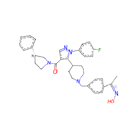 C/C(=N/O)c1ccc(CN2CCC(c3c(C(=O)N4CC[C@H](c5ccccc5)C4)cnn3-c3ccc(F)cc3)CC2)cc1